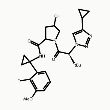 COc1cccc(C2(NC(=O)C3CC(O)CN3C(=O)[C@@H](n3cc(C4CC4)nn3)C(C)(C)C)CC2)c1F